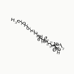 CCCOCCOCCOCCCNC(=O)CCC(=O)NCCCC[C@H](N)C(=O)O